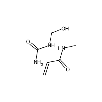 C=CC(=O)NC.NC(=O)NCO